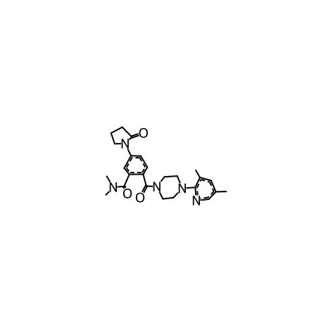 Cc1cnc(N2CCN(C(=O)c3ccc(N4CCCC4=O)cc3C(=O)N(C)C)CC2)c(C)c1